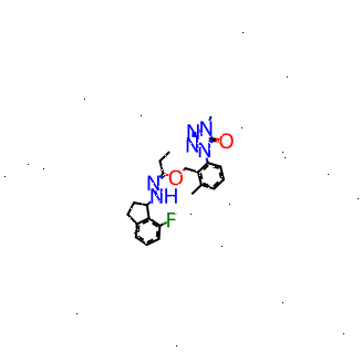 CC/C(=N/NC1CCc2cccc(F)c21)OCc1c(C)cccc1-n1nnn(C)c1=O